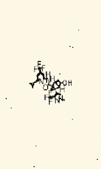 Cn1cc([C@@]23C[C@]2(C(=O)Nc2cc(C(F)(F)F)cc(C4CC4)n2)[C@H]2C[C@H](O)[C@@H]3O2)c(C(F)(F)F)n1